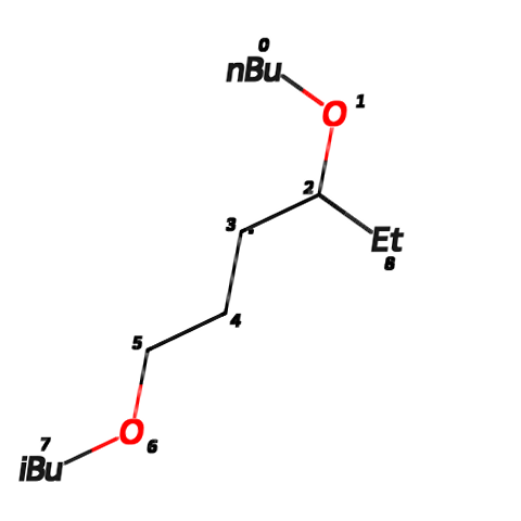 CCCCOC([CH]CCOC(C)CC)CC